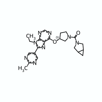 CCn1c(-c2cnc(C)nc2)nc2c(O[C@H]3CCN(C(=O)N4CC5CC5C4)C3)ncnc21